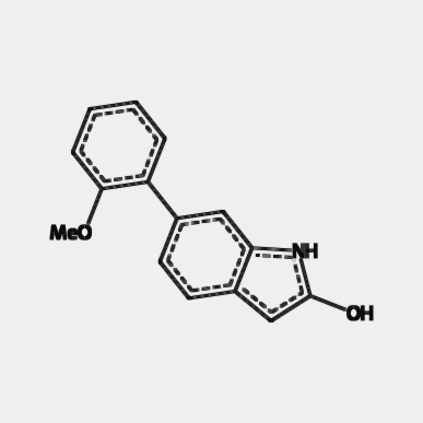 COc1ccccc1-c1ccc2cc(O)[nH]c2c1